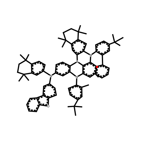 Cc1cc2c3c(c1)N(c1ccc(C(C)(C)C)cc1-c1ccccc1)c1cc4c(cc1B3c1ccc(N(c3ccc5c(c3)C(C)(C)CCC5(C)C)c3ccc5oc6ccccc6c5c3)cc1N2c1ccc(C(C)(C)C)cc1C)C(C)(C)CCC4(C)C